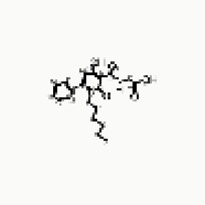 CCCCCCn1c(-c2ccccc2)cc(O)c(C(=O)NCC(=O)O)c1=O